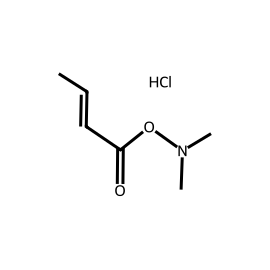 C/C=C/C(=O)ON(C)C.Cl